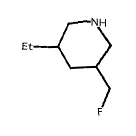 CCC1CNCC(CF)C1